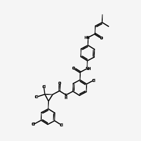 CC(C)=CC(=O)Nc1ccc(NC(=O)c2cc(NC(=O)C3C(c4cc(Cl)cc(Cl)c4)C3(Cl)Cl)ccc2Cl)cc1